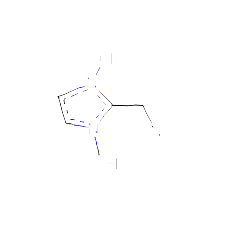 Cn1cc[n+](C)c1[CH2][Na]